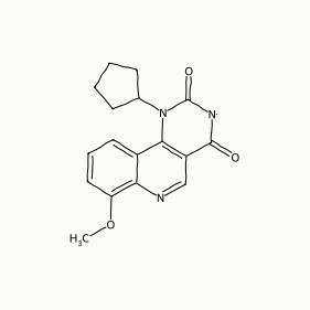 COc1cccc2c3c(cnc12)C(=O)[N]C(=O)N3C1CCCC1